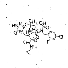 CC(C)(C)C[C@@H](C(=O)NC(C[C@@H]1CCNC1=O)C(=O)C(=O)NC1CC1)N(Cc1ccc(Cl)cc1F)C(=O)O